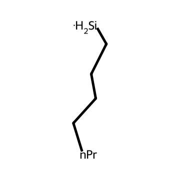 CCCCCCC[SiH2]